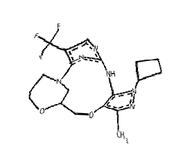 Cc1nn(C2CCC2)c2c1OCC1CN(CCO1)c1nc(ncc1C(F)(F)F)N2